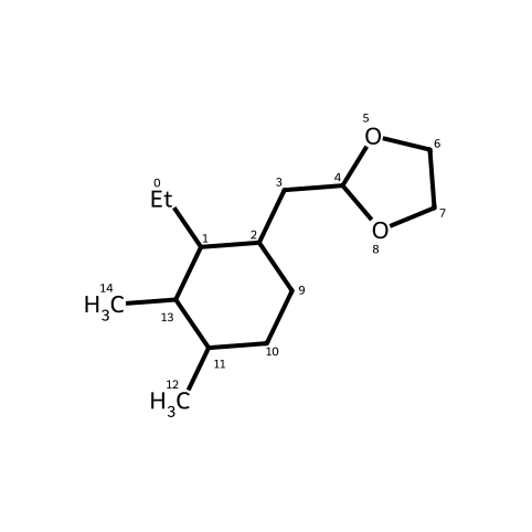 CCC1C(CC2OCCO2)CCC(C)C1C